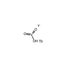 [O]=[V](=[O])[OH].[Tb].[Y]